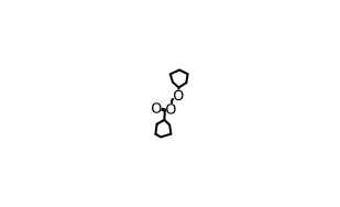 O=C(OCOC1CCCCC1)C1CCCCC1